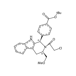 COC[C@H]1Cc2c([nH]c3ccccc23)[C@@H](c2ccc(C(=O)OC(C)(C)C)cc2)N1C(=O)CCl